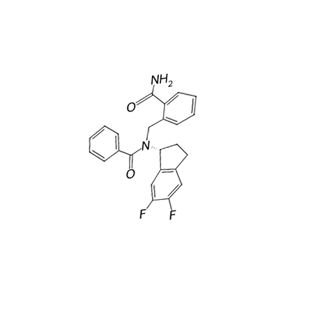 NC(=O)c1ccccc1CN(C(=O)c1ccccc1)[C@@H]1CCc2cc(F)c(F)cc21